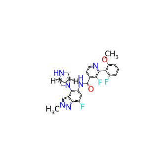 COc1cccc(F)c1-c1nccc(C(=O)Nc2cc(F)c3nn(C)cc3c2N2C[C@H]3C[C@@H]2CN3)c1F